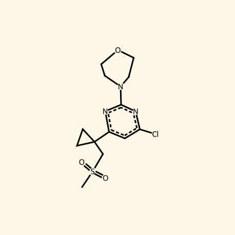 CS(=O)(=O)CC1(c2cc(Cl)nc(N3CCOCC3)n2)CC1